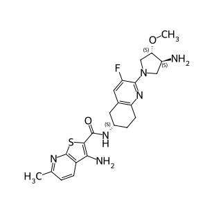 CO[C@H]1CN(c2nc3c(cc2F)C[C@@H](NC(=O)c2sc4nc(C)ccc4c2N)CC3)C[C@@H]1N